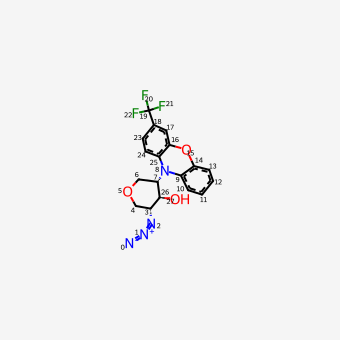 [N-]=[N+]=N[C@@H]1COC[C@H](N2c3ccccc3Oc3cc(C(F)(F)F)ccc32)[C@H]1O